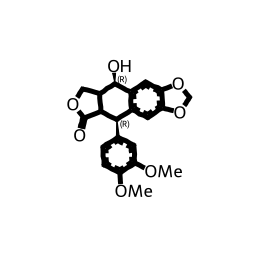 COc1ccc([C@@H]2c3cc4c(cc3[C@H](O)C3COC(=O)C32)OCO4)cc1OC